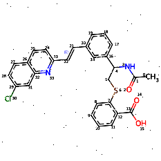 CC(=O)NC(CSc1ccccc1C(=O)O)c1cccc(/C=C/c2ccc3ccc(Cl)cc3n2)c1